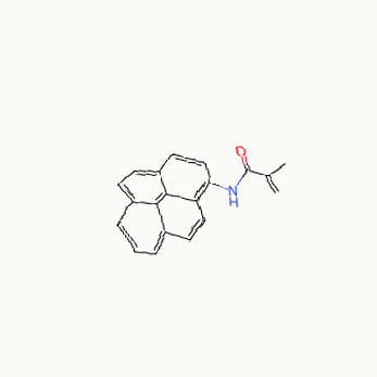 C=C(C)C(=O)Nc1ccc2ccc3cccc4ccc1c2c34